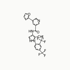 Cc1c(NC(=O)c2cncc(-c3ccco3)c2)cnn1-c1ccc(C(F)(F)F)cc1C(F)(F)F